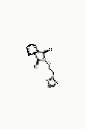 O=C1c2ccccc2C(=O)N1OCCn1ncnn1